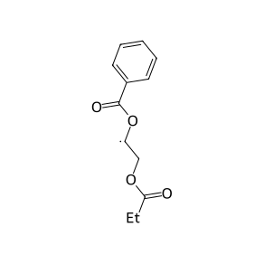 CCC(=O)OC[CH]OC(=O)c1ccccc1